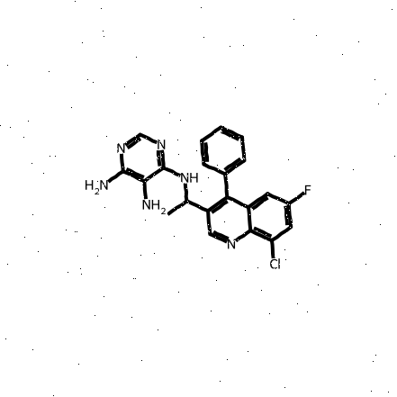 CC(Nc1ncnc(N)c1N)c1cnc2c(Cl)cc(F)cc2c1-c1ccccc1